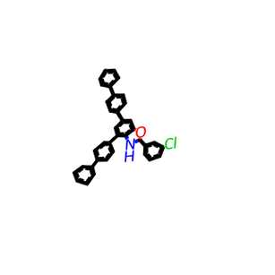 Clc1cccc(C2Nc3c(cc(-c4ccc(-c5ccccc5)cc4)cc3-c3ccc(-c4ccccc4)cc3)O2)c1